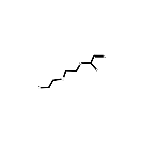 O=CC(Cl)OCCOCCCl